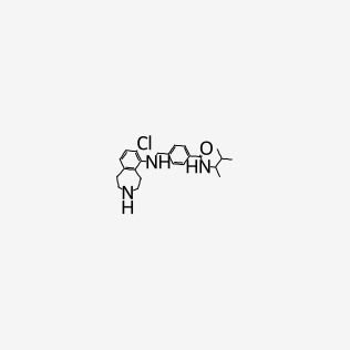 CC(C)C(C)NC(=O)c1ccc(CNc2c(Cl)ccc3c2CCNCC3)cc1